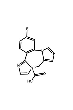 O=C(O)[N+]12C=CN=C1c1ccc(F)cc1-n1cncc1C2